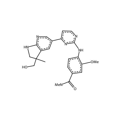 CNC(=O)c1ccc(Nc2nccc(-c3cnc4c(c3)C(C)(CO)CN4)n2)c(OC)c1